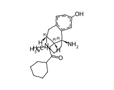 CN1CC[C@@]2(N)c3cc(O)ccc3C[C@@H]1[C@H]2N(C)C(=O)C1CCCCC1